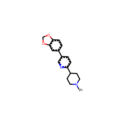 CC(C)N1CCC(c2ccc(-c3ccc4c(c3)OCO4)cn2)CC1